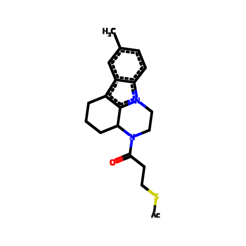 CC(=O)SCCC(=O)N1CCn2c3c(c4cc(C)ccc42)CCCC31